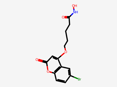 O=C(CCCCOc1cc(=O)oc2ccc(Br)cc12)NO